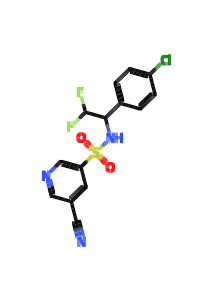 N#Cc1cncc(S(=O)(=O)NC(c2ccc(Cl)cc2)C(F)F)c1